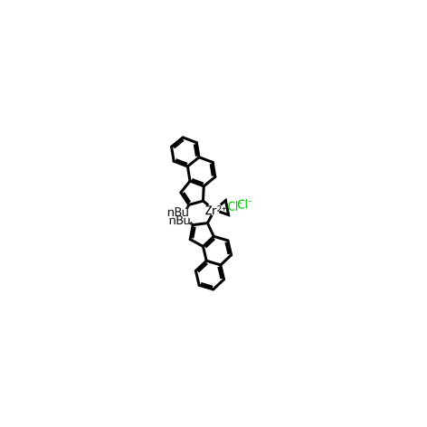 CCCCC1=Cc2c(ccc3ccccc23)[CH]1[Zr+2]1([CH]2C(CCCC)=Cc3c2ccc2ccccc32)[CH2][CH2]1.[Cl-].[Cl-]